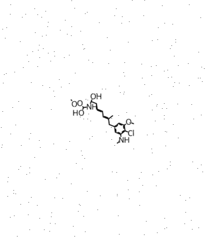 CNc1cc(C/C(C)=C/C=C/C[C@](C)(O)NC(O)OOC)cc(OC)c1Cl